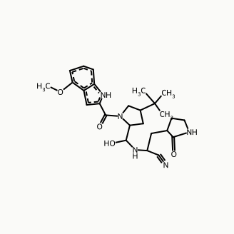 COc1cccc2[nH]c(C(=O)N3CC(C(C)(C)C)CC3C(O)NC(C#N)CC3CCNC3=O)cc12